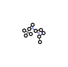 c1ccc(-c2ccc(-n3c4ccccc4c4cc(-n5c6ccccc6c6ccc([Si](c7ccccc7)(c7ccccc7)c7ccccc7)cc65)ccc43)c(-c3ccccc3)c2)cc1